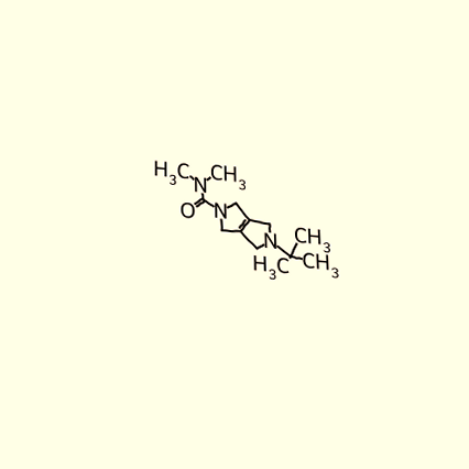 CN(C)C(=O)N1CC2=C(C1)CN(C(C)(C)C)C2